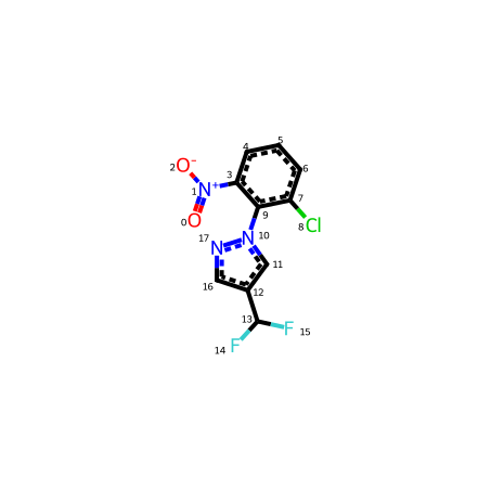 O=[N+]([O-])c1cccc(Cl)c1-n1cc(C(F)F)cn1